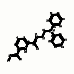 C/N=C(\C)c1cccc(/C(C)=N/CCP(c2ccccc2)c2ccccc2)n1